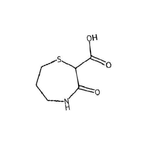 O=C(O)C1SCCCNC1=O